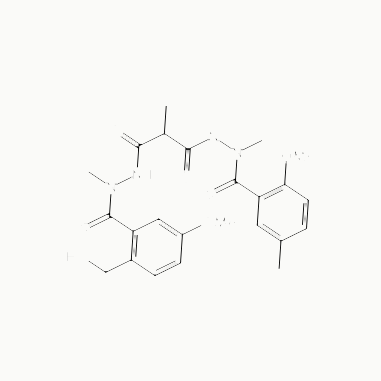 COc1ccc(CO)c(C(=S)N(C)NC(=O)C(C)C(=O)NN(C)C(=S)c2cc(C)ccc2OC)c1